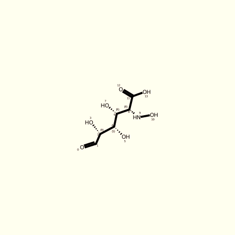 O=C[C@H](O)[C@@H](O)[C@H](O)[C@@H](NO)C(=O)O